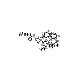 COC(=O)CCCC(C)(C)c1cc(C(C)C)c2c(c1-c1ccccc1C)C(c1ccccc1C)C(=O)O2